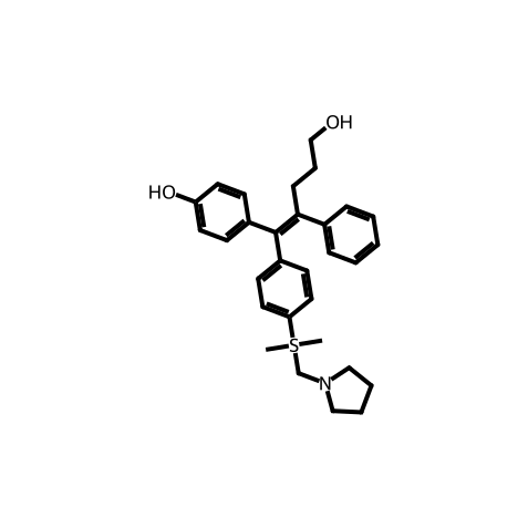 CS(C)(CN1CCCC1)c1ccc(/C(=C(/CCCO)c2ccccc2)c2ccc(O)cc2)cc1